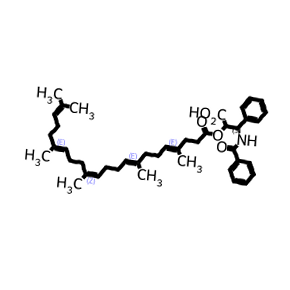 CC(C)=CCC/C(C)=C/CC/C(C)=C\CC/C=C(\C)CC/C=C(\C)CCC(=O)OC(C(=O)O)[C@@H](NC(=O)c1ccccc1)c1ccccc1